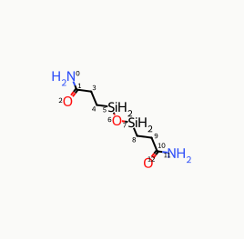 NC(=O)CC[SiH2]O[SiH2]CCC(N)=O